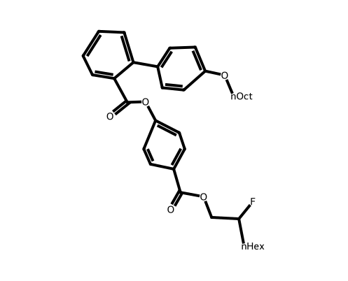 CCCCCCCCOc1ccc(-c2ccccc2C(=O)Oc2ccc(C(=O)OCC(F)CCCCCC)cc2)cc1